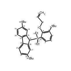 C=CCOc1c(C(C)(C)C)cccc1[Si](CC)(CC)C1c2cc(C(C)(C)C)ccc2-c2ccc(C(C)(C)C)cc21